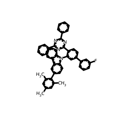 Cc1cc(C)c(-c2ccc3c(c2)c2ccccc2n3-c2cc(-c3cccc(F)c3)ccc2-c2nc(-c3ccccc3)nc(-c3ccccc3)n2)c(C)c1